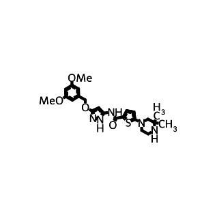 COc1cc(COc2cc(NC(=O)c3ccc(N4CCNC(C)(C)C4)s3)[nH]n2)cc(OC)c1